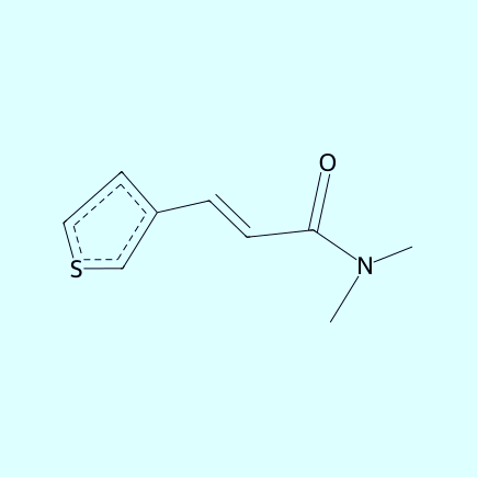 CN(C)C(=O)C=Cc1ccsc1